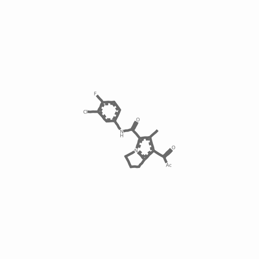 CC(=O)C(=O)c1c(C)c(C(=O)Nc2ccc(F)c(Cl)c2)n2c1CCC2